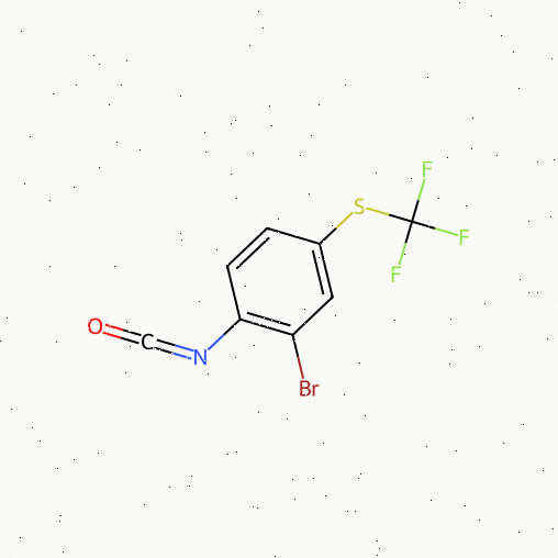 O=C=Nc1ccc(SC(F)(F)F)cc1Br